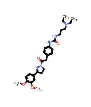 CCN(CC)CCCNC(=O)Nc1ccc(CC(=O)N2CCC(c3ccc(OC)c(OC)c3)=N2)cc1